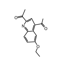 CCOc1ccc2nc(C(C)=O)cc(C(C)=O)c2c1